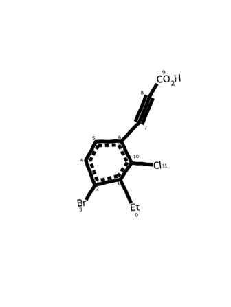 CCc1c(Br)ccc(C#CC(=O)O)c1Cl